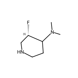 CN(C)C1CCNC[C@@H]1F